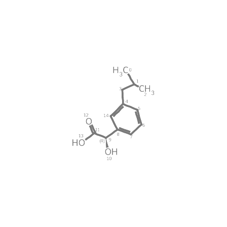 CC(C)Cc1cccc([C@@H](O)C(=O)O)c1